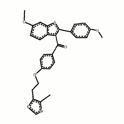 COc1ccc(-c2sc3cc(OC)ccc3c2C(=O)c2ccc(OCCc3scnc3C)cc2)cc1